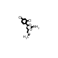 COCCC[C@H](OC(N)=O)c1ccc(Cl)cc1Cl